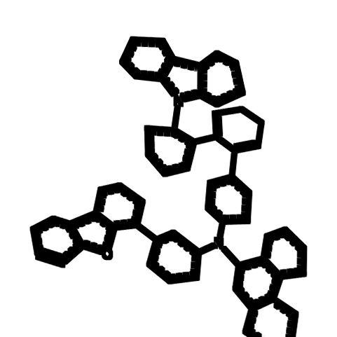 c1ccc2c(c#1)oc1c(-c3cccc(N(c4ccc(C5=CCCC=C5c5ccccc5-n5c6ccccc6c6ccccc65)cc4)c4cc5ccccc5c5ccccc45)c3)cccc12